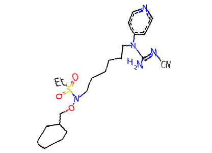 CCS(=O)(=O)N(CCCCCCN(C(N)=NC#N)c1ccncc1)OCC1CCCCC1